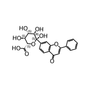 O=C(O)[C@H]1O[C@@](O)(c2ccc3c(=O)cc(-c4ccccc4)oc3c2)[C@H](O)[C@@H](O)[C@@H]1O